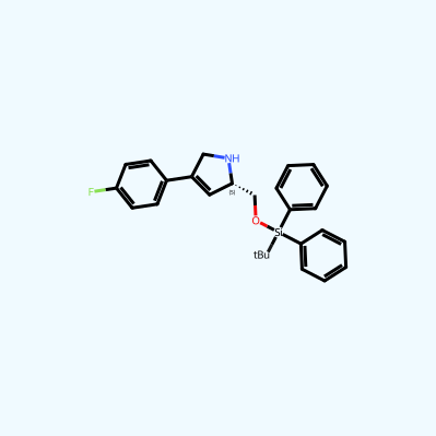 CC(C)(C)[Si](OC[C@@H]1C=C(c2ccc(F)cc2)CN1)(c1ccccc1)c1ccccc1